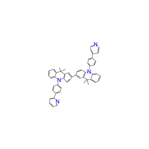 CC1(C)c2ccccc2N(c2ccc(-c3ccncc3)cc2)c2ccc(-c3ccc4c(c3)C(C)(C)c3ccccc3N4c3ccc(-c4ccccn4)cc3)cc21